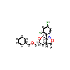 C[C@@H]1ON[C@@]2(c3ccc(F)cc3F)CO[C@@H](COCc3ccccc3)C[C@@H]12